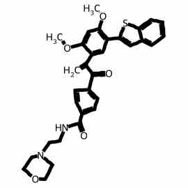 C=C(C(=O)c1ccc(C(=O)NCCN2CCOCC2)cc1)c1cc(-c2cc3ccccc3s2)c(OC)cc1OC